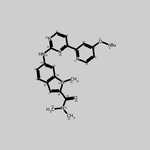 CCCCOc1ccnc(-c2ccnc(Nc3ccc4cc(C(=O)N(C)C)n(C)c4c3)n2)c1